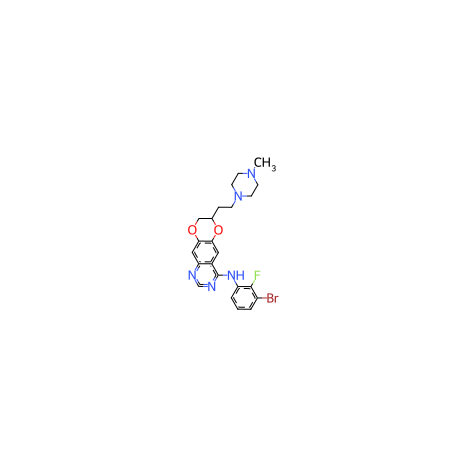 CN1CCN(CCC2COc3cc4ncnc(Nc5cccc(Br)c5F)c4cc3O2)CC1